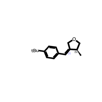 C[C@@H]1COC/C1=C\c1ccc(C(C)(C)C)cc1